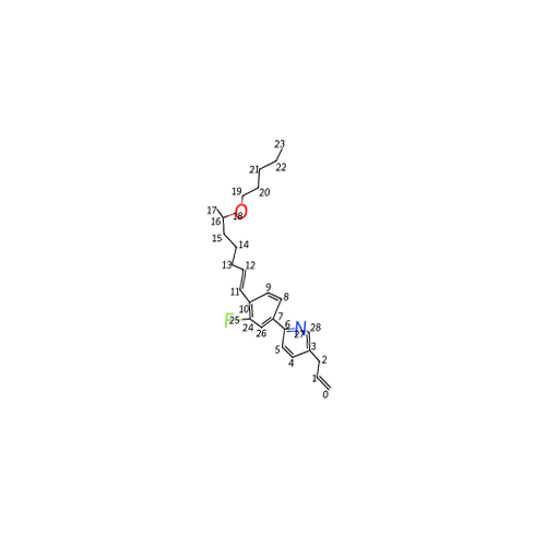 C=CCc1ccc(-c2ccc(C=CCCCC(C)OCCCCC)c(F)c2)nc1